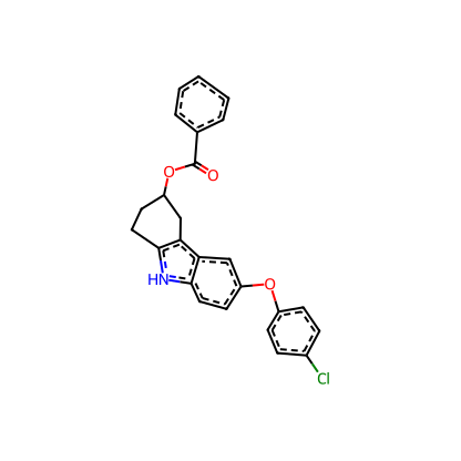 O=C(OC1CCc2[nH]c3ccc(Oc4ccc(Cl)cc4)cc3c2C1)c1ccccc1